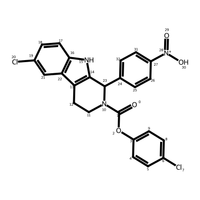 O=C(Oc1ccc(Cl)cc1)N1CCc2c([nH]c3ccc(Cl)cc23)C1c1ccc([N+](=O)O)cc1